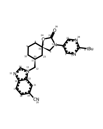 CC(C)(C)c1ncc(N2C[C@@]3(CCC[C@H](Cn4cnc5ccc(C#N)cc54)C3)OC2=O)cn1